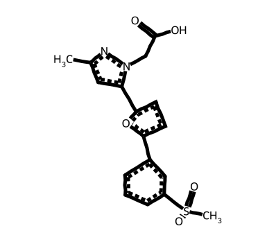 Cc1cc(-c2ccc(-c3cccc(S(C)(=O)=O)c3)o2)n(CC(=O)O)n1